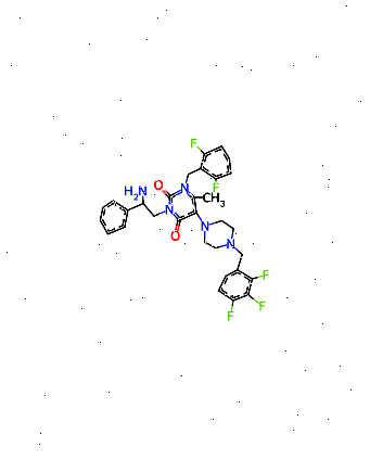 Cc1c(N2CCN(Cc3ccc(F)c(F)c3F)CC2)c(=O)n(CC(N)c2ccccc2)c(=O)n1Cc1c(F)cccc1F